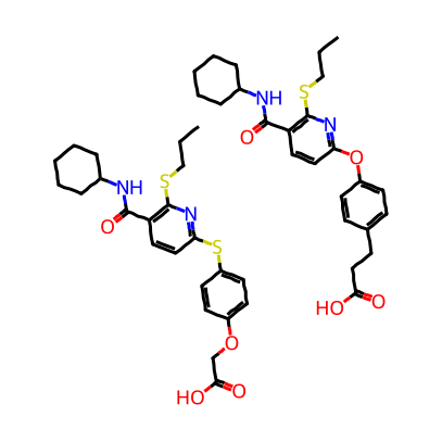 CCCSc1nc(Oc2ccc(CCC(=O)O)cc2)ccc1C(=O)NC1CCCCC1.CCCSc1nc(Sc2ccc(OCC(=O)O)cc2)ccc1C(=O)NC1CCCCC1